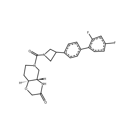 O=C1CO[C@H]2CCN(C(=O)N3CC(c4ccc(-c5ccc(F)cc5F)cc4)C3)C[C@@H]2N1